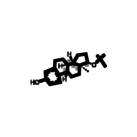 CC(C)(C)O[C@H]1CC[C@H]2[C@@H]3CCc4cc(O)ccc4[C@H]3CC[C@]12C